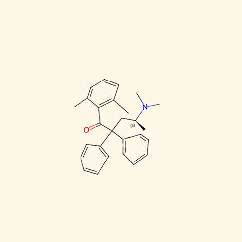 Cc1cccc(C)c1C(=O)C(C[C@H](C)N(C)C)(c1ccccc1)c1ccccc1